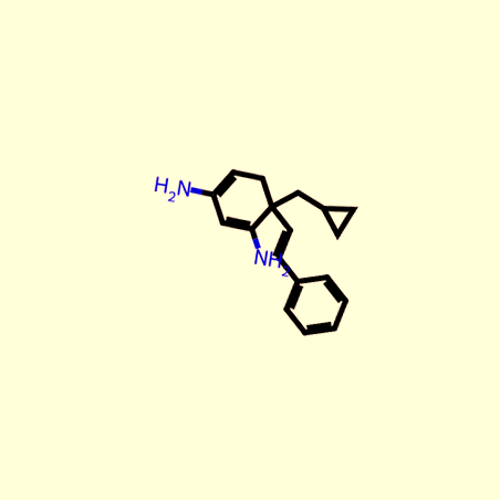 NC1=CCC(C=Cc2ccccc2)(CC2CC2)C(N)=C1